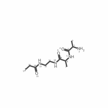 CC(N)C(=O)NC(C)C(=O)NCCNC(=O)CI